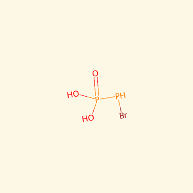 O=P(O)(O)PBr